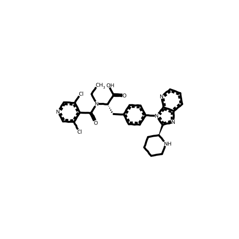 CCN(C(=O)c1c(Cl)cncc1Cl)[C@@H](Cc1ccc(-n2c([C@@H]3CCCCN3)nc3cccnc32)cc1)C(=O)O